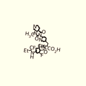 CCC(Nc1cc(C)c(C(=O)NC(Cc2ccc(-n3c(=O)c4ccncc4n(C)c3=O)nc2)C(=O)O)c(F)c1)C(F)(F)F